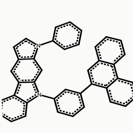 c1ccc(-n2ccc3cc4c5ccccc5n(-c5cccc(-c6cc7ccccc7c7ccccc67)c5)c4cc32)cc1